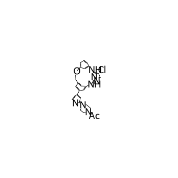 CC(=O)N1CCN(c2cc(-c3cc4cc(c3)Nc3ncc(Cl)c(n3)Nc3cccc(c3)OCC4)ccn2)CC1